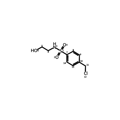 O=S(=O)(NCCO)c1ccc(CCl)cc1